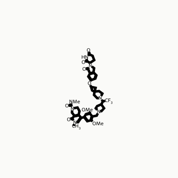 CNC(=O)N1CCc2c(-c3cc(OC)c(CN4CCC(C(N5CCC6(CC5)CC(Oc5ccc7c(c5)C(=O)N(C5CCC(=O)NC5=O)C7)C6)C(F)(F)F)CC4)c(OC)c3)cn(C)c(=O)c2C1